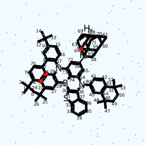 CC(C)(C)c1ccc(-c2cc(C(C)(C)C)ccc2N2c3ccc(C(C)(C)C)cc3B3c4sc5ccccc5c4N(c4ccc5c(c4)C(C)(C)CCC5(C)C)c4cc([C@@]56CC7C8C9CC%10C[C@@H]7C(C5)[C@@H](C%10)C98C6)cc2c43)cc1